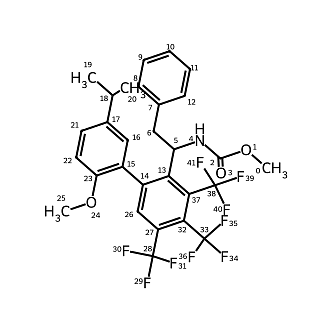 COC(=O)NC(Cc1ccccc1)c1c(-c2cc(C(C)C)ccc2OC)cc(C(F)(F)F)c(C(F)(F)F)c1C(F)(F)F